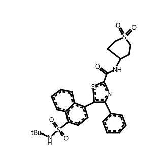 CC(C)(C)NS(=O)(=O)c1ccc(-c2sc(C(=O)NC3CCS(=O)(=O)CC3)nc2-c2ccccc2)c2ccccc12